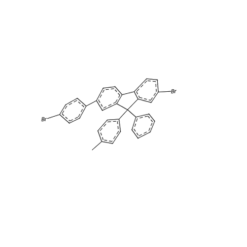 Cc1ccc(C2(c3ccccc3)c3cc(Br)ccc3-c3ccc(-c4ccc(Br)cc4)cc32)cc1